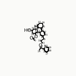 CC(=O)OC1=C2C3C=C(CCCOC(C)c4ccccn4)C=CC3=C3CCCC[C@@H]3N2C[C@H](O)C1